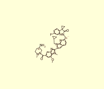 COc1cc(C(=O)N2C[C@H](N)CCN2C)cc2nc(-c3cc4ccc([C@@H](C)NC(=O)C5(c6ccc(F)cc6)CC5)nc4n3CC3CC3)n(C)c12